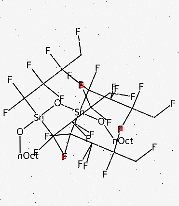 CCCCCCCC[O][Sn]([O][Sn]([O]CCCCCCCC)([C](F)(F)C(F)(F)C(F)(F)CF)[C](F)(F)C(F)(F)C(F)(F)CF)([C](F)(F)C(F)(F)C(F)(F)CF)[C](F)(F)C(F)(F)C(F)(F)CF